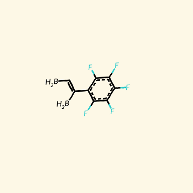 B/C=C(\B)c1c(F)c(F)c(F)c(F)c1F